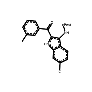 CCCCCNc1c(C(=O)c2cccc(C)c2)[nH]c2cc(Cl)ccc12